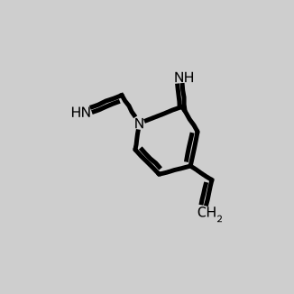 C=Cc1ccn(C=N)c(=N)c1